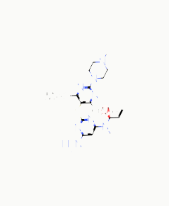 C=CC(=O)N(C)c1cc(N)nc(Sc2c(OC)nc(N3CCN(C)CC3)nc2OC)n1